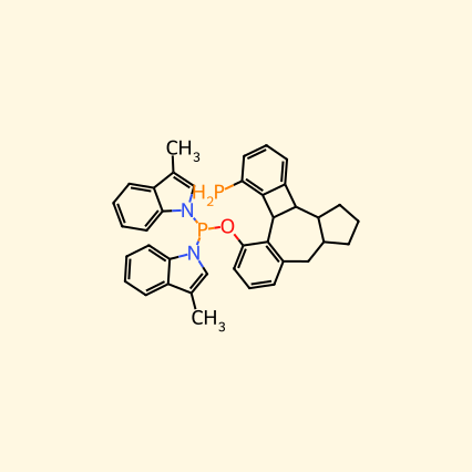 Cc1cn(P(Oc2cccc3c2C2c4c(P)cccc4C2C2CCCC2C3)n2cc(C)c3ccccc32)c2ccccc12